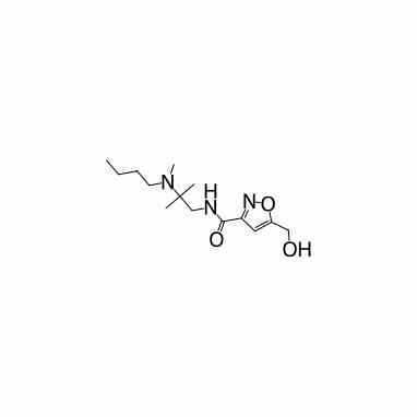 CCCCN(C)C(C)(C)CNC(=O)c1cc(CO)on1